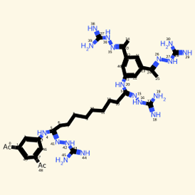 CC(=O)c1cc(NC(CCCCCCCCC(=NNC(=N)N)Nc2cc(C(C)=NNC(=N)N)cc(C(C)=NNC(=N)N)c2)=NNC(=N)N)cc(C(C)=O)c1